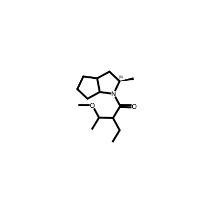 CCC(C(=O)N1C2CCCC2C[C@H]1C)C(C)OC